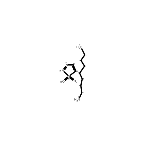 CCCCCCCCN.O=S1(=O)C=CN=N1